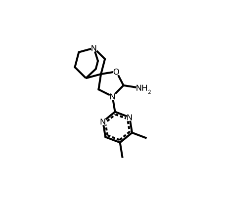 Cc1cnc(N2CC3(CN4CCC3CC4)OC2N)nc1C